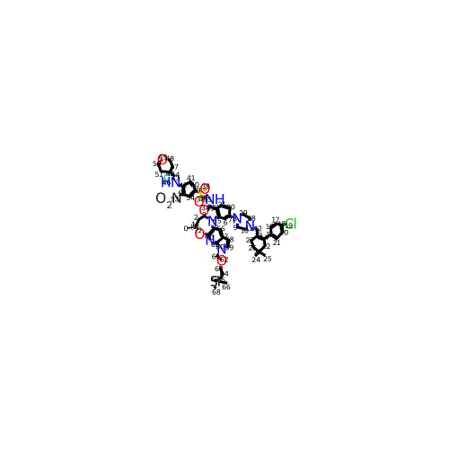 C[C@H]1CCN(c2cc(N3CCN(CC4=C(c5ccc(Cl)cc5)CC(C)(C)CC4)CC3)ccc2C(=O)NS(=O)(=O)c2ccc(NCC3(F)CCOCC3)c([N+](=O)[O-])c2)c2cc3ccn(COCC[Si](C)(C)C)c3nc2O1